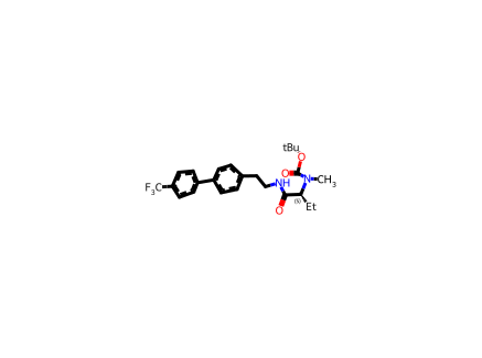 CC[C@@H](C(=O)NCCc1ccc(-c2ccc(C(F)(F)F)cc2)cc1)N(C)C(=O)OC(C)(C)C